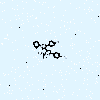 CC(=O)N1N=C(c2ccc(C)cc2)CC1c1cn(-c2ccccc2)nc1-c1ccc(C)cc1